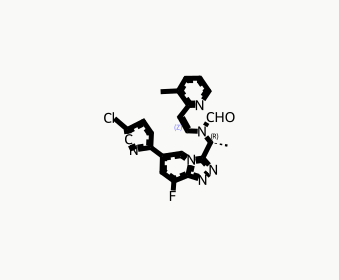 Cc1cccnc1/C=C\N(C=O)[C@H](C)c1nnc2c(F)cc(-c3ccc(Cl)cn3)cn12